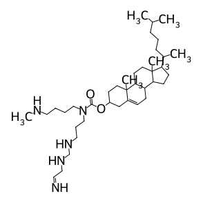 CNCCCCN(CCCNCNCC=N)C(=O)OC1CCC2(C)C(=CCC3C2CCC2(C)C(C(C)CCCC(C)C)CCC32)C1